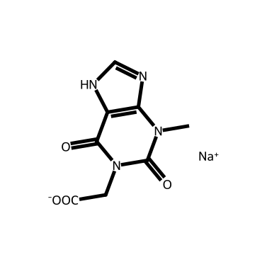 Cn1c(=O)n(CC(=O)[O-])c(=O)c2[nH]cnc21.[Na+]